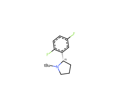 CC(C)(C)N1CCC[C@H]1c1cc(F)ccc1F